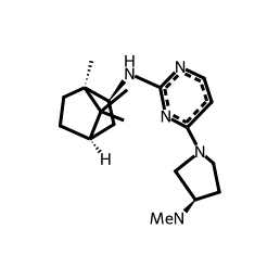 CN[C@@H]1CCN(c2ccnc(N[C@H]3C[C@H]4CC[C@]3(C)C4(C)C)n2)C1